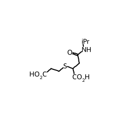 CC(C)NC(=O)CC(SCCC(=O)O)C(=O)O